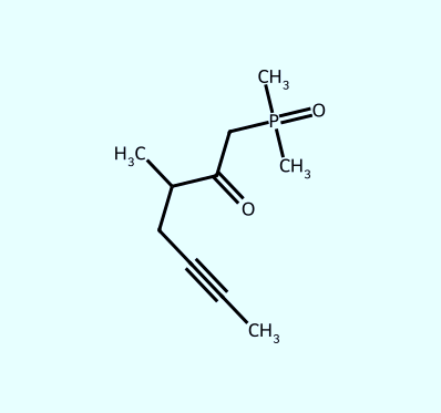 CC#CCC(C)C(=O)CP(C)(C)=O